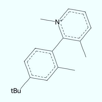 Cc1cc(C(C)(C)C)ccc1-c1c(C)ccc[n+]1C